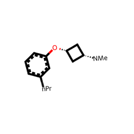 CCCc1cccc(O[C@H]2C[C@@H](NC)C2)c1